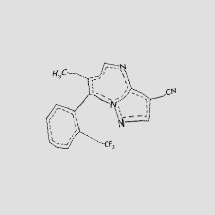 Cc1cnc2c(C#N)cnn2c1-c1ccccc1C(F)(F)F